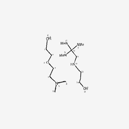 CN(C)CCOCCO.CNC(CNCCO)(NC)NC